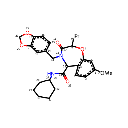 COc1ccc2c(c1)OC(C(C)C)C(=O)N(Cc1ccc3c(c1)OCO3)C2C(=O)NC1CCCCC1